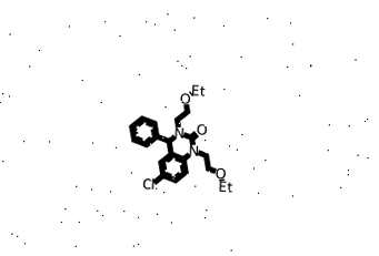 CCOCCN1C(=O)N(CCOCC)C(c2ccccc2)c2cc(Cl)ccc21